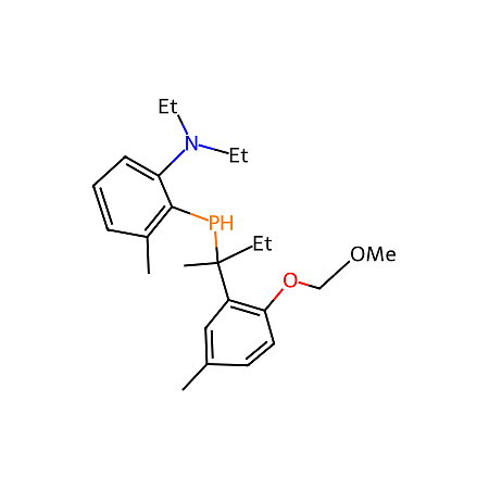 CCN(CC)c1cccc(C)c1PC(C)(CC)c1cc(C)ccc1OCOC